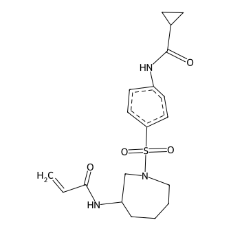 C=CC(=O)NC1CCCCN(S(=O)(=O)c2ccc(NC(=O)C3CC3)cc2)C1